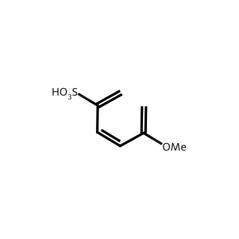 C=C(/C=C\C(=C)S(=O)(=O)O)OC